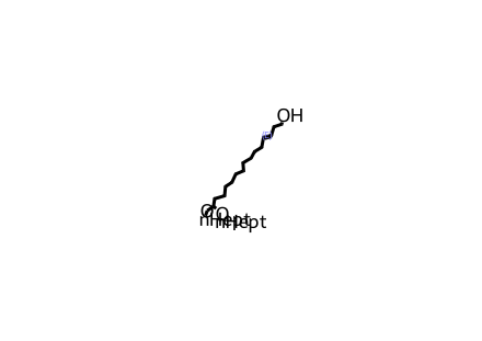 CCCCCCCOC(CCCCCCCCCC/C=C/CCO)OCCCCCCC